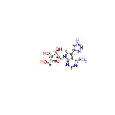 Nc1ncnc2c1c(-c1c[nH]nn1)cn2[C@@H]1O[C@H](CO)C(O)C1O